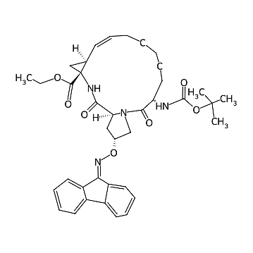 CCOC(=O)[C@@]12C[C@H]1/C=C\CCCCC[C@H](NC(=O)OC(C)(C)C)C(=O)N1C[C@H](ON=C3c4ccccc4-c4ccccc43)C[C@H]1C(=O)N2